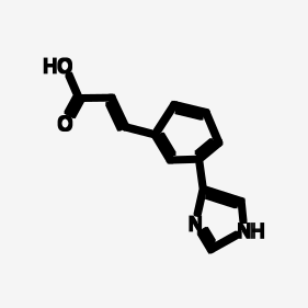 O=C(O)/C=C/c1cccc(-c2c[nH]cn2)c1